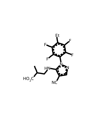 CCc1c(F)c(F)c(-n2ncc(C#N)c2NCC(C)C(=O)O)c(F)c1F